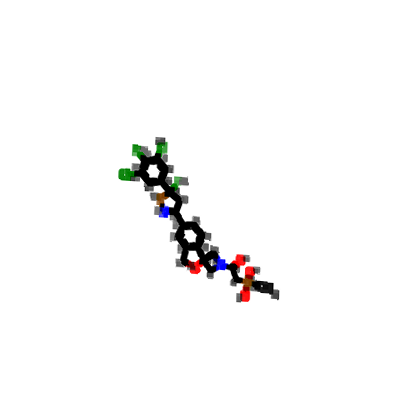 CS(=O)(=O)CC(=O)N1CC2(C1)OCc1cc(C3=NSC(F)(c4cc(Cl)c(F)c(Cl)c4)C3)ccc12